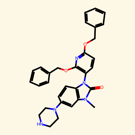 Cn1c(=O)n(-c2ccc(OCc3ccccc3)nc2OCc2ccccc2)c2ccc(N3CCNCC3)cc21